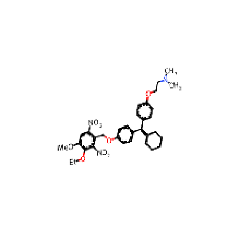 CCOc1c(OC)cc([N+](=O)[O-])c(COc2ccc(C(=C3CCCCC3)c3ccc(OCCN(C)C)cc3)cc2)c1[N+](=O)[O-]